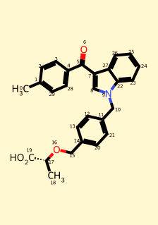 Cc1ccc(C(=O)c2cn(Cc3ccc(CO[C@H](C)C(=O)O)cc3)c3ccccc23)cc1